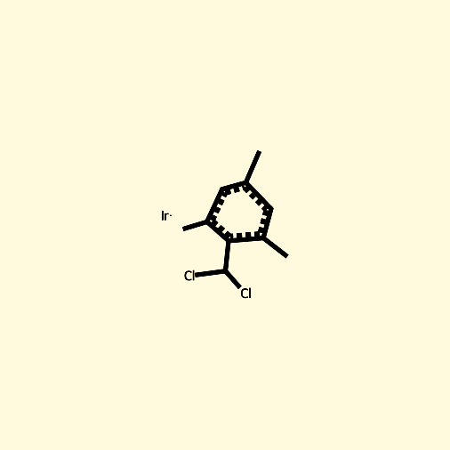 Cc1cc(C)c(C(Cl)Cl)c(C)c1.[Ir]